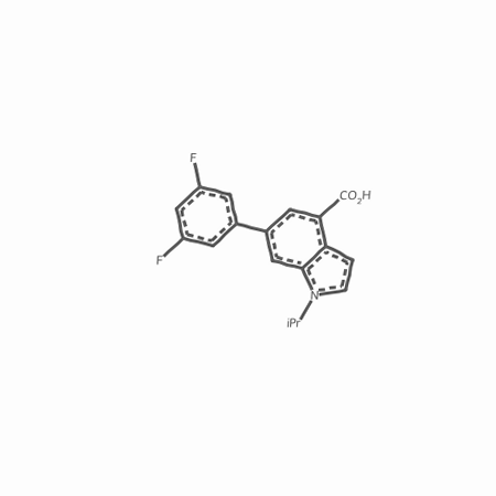 CC(C)n1ccc2c(C(=O)O)cc(-c3cc(F)cc(F)c3)cc21